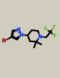 CC1(C)CC(n2cc(Br)cn2)CCN1CC(F)(F)F